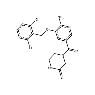 Nc1ncc(C(=O)N2CCNC(=O)C2)cc1OCc1c(Cl)cccc1Cl